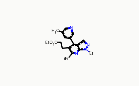 CCOC(=O)CCc1c(C(C)C)nc2c(cnn2CC)c1-c1cncc(C)c1